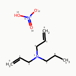 C=CCN(CC=C)CCC.O=[N+]([O-])O